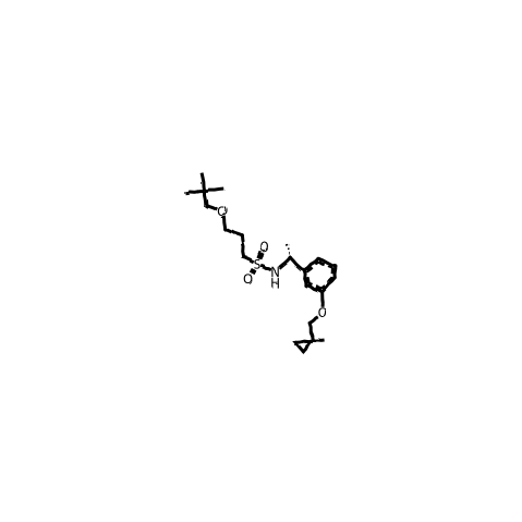 C[C@@H](NS(=O)(=O)CCCOCC(C)(C)C)c1cccc(OCC2(C)CC2)c1